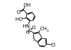 Cc1c(S(=O)(=O)Nc2cccc(C(=O)O)c2O)sc2ccc(Cl)cc12